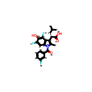 Cc1c([C@H](CC(C)C)C(=O)O)c2c(F)c(O)c(F)cc2n1C(=O)c1cccc(F)c1